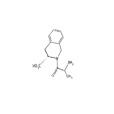 CC(N)C(=O)N1Cc2ccccc2C[C@H]1C(=O)O